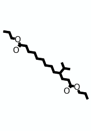 CCCOC(=O)CCCCCCCCC(CCC(=O)OCCC)C(C)C